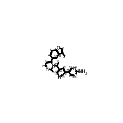 Cc1coc2ccc(C3=CC=NC(C)N3C(C)c3cncc(-c4cnc(N)nc4)c3)cc12